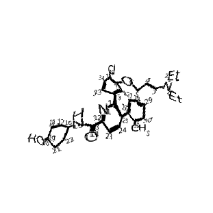 CCN(CC)CCCOc1cc(-c2nc(C(=O)NC3CCC(O)CC3)ccc2-c2ccccc2C)ccc1Cl